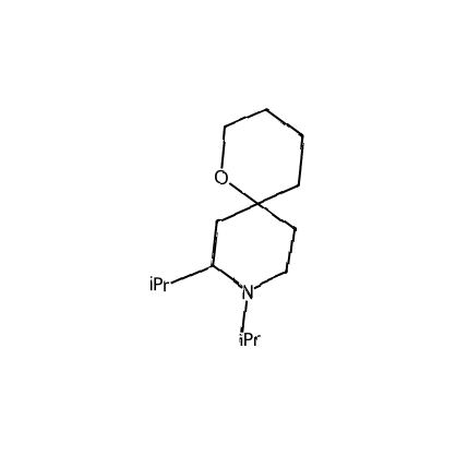 CC(C)C1CC2(CCCCO2)CCN1C(C)C